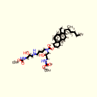 CC(C)CCC[C@@H](C)[C@H]1CC[C@H]2[C@@H]3CC=C4C[C@@H](OC(=O)N(CCCCNCC(O)CNC(=O)OC(C)(C)C)CC(O)CNC(=O)OC(C)(C)C)CC[C@]4(C)[C@H]3CC[C@]12C